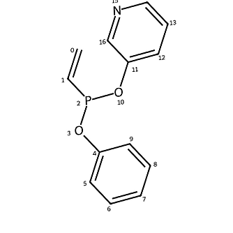 C=CP(Oc1ccccc1)Oc1cccnc1